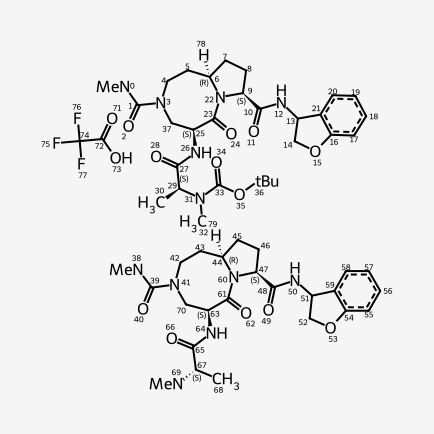 CNC(=O)N1CC[C@H]2CC[C@@H](C(=O)NC3COc4ccccc43)N2C(=O)[C@@H](NC(=O)[C@H](C)N(C)C(=O)OC(C)(C)C)C1.CNC(=O)N1CC[C@H]2CC[C@@H](C(=O)NC3COc4ccccc43)N2C(=O)[C@@H](NC(=O)[C@H](C)NC)C1.O=C(O)C(F)(F)F